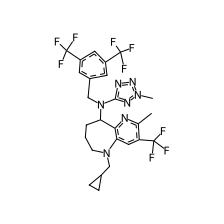 Cc1nc2c(cc1C(F)(F)F)N(CC1CC1)CCCC2N(Cc1cc(C(F)(F)F)cc(C(F)(F)F)c1)c1nnn(C)n1